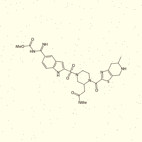 CNC(=O)CC1CN(S(=O)(=O)c2cc3cc(C(=N)NC(=O)OC)ccc3[nH]2)CCN1C(=O)c1nc2c(s1)CNC(C)C2